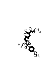 COC(=O)c1cc2sc(N(C)S(=O)(=O)c3ccc(OC)cc3)cc2oc1=O